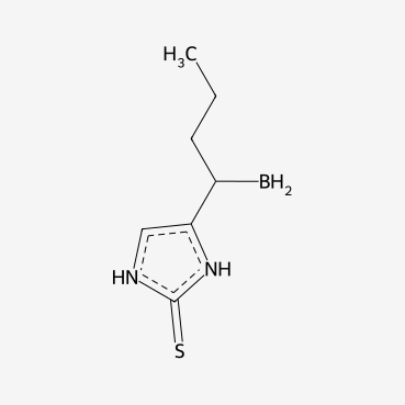 BC(CCC)c1c[nH]c(=S)[nH]1